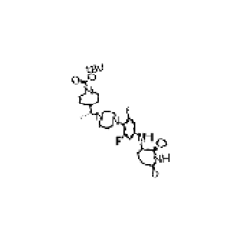 C[C@H](C1CCN(C(=O)OC(C)(C)C)CC1)N1CCN(c2c(F)cc(NC3CCC(=O)NC3=O)cc2F)CC1